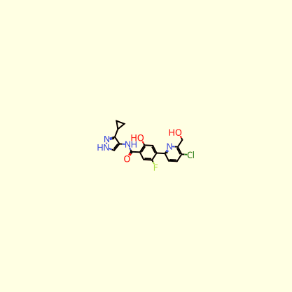 O=C(Nc1c[nH]nc1C1CC1)c1cc(F)c(-c2ccc(Cl)c(CO)n2)cc1O